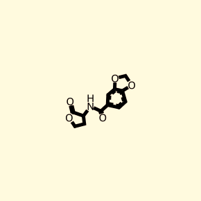 O=C(NC1CCOC1=O)c1ccc2c(c1)OCO2